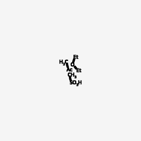 CC(C)=O.CCOCC.CS(=O)(=O)O